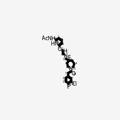 CC(=O)NC1C=CC=C(OCCNC[C@]2(F)CCCN(C(=O)Cc3ccc(F)c(Cl)c3)CC2)N1